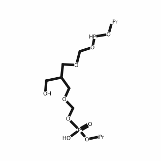 CC(C)OPOCOCC(CO)COCOP(=O)(O)OC(C)C